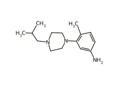 C[C](C)CN1CCN(c2cc(N)ccc2C)CC1